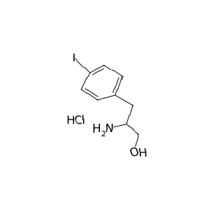 Cl.NC(CO)Cc1ccc(I)cc1